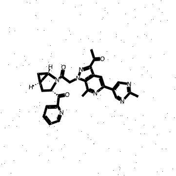 CC(=O)c1nn(CC(=O)N2[C@@H]3C[C@@H]3C[C@H]2C(=O)c2ccccn2)c2c(C)nc(-c3cnc(C)nc3)cc12